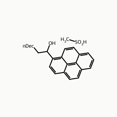 CCCCCCCCCCCC(O)c1ccc2ccc3cccc4ccc1c2c34.CS(=O)(=O)O